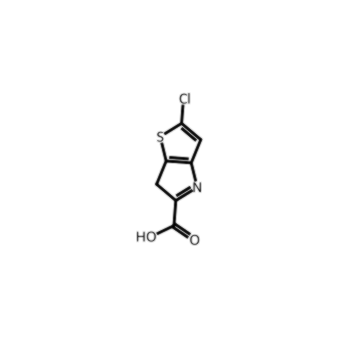 O=C(O)C1=Nc2cc(Cl)sc2C1